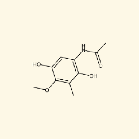 COc1c(O)cc(NC(C)=O)c(O)c1C